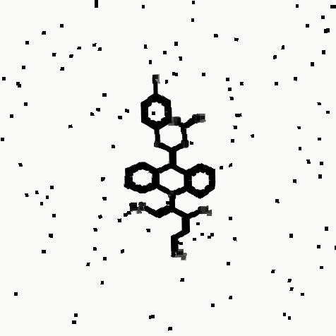 C=C/C=C(C)\C(=C\C)N1c2ccccc2C(=C(OP(O)O)Sc2ccc(Cl)cc2)c2ccccc21